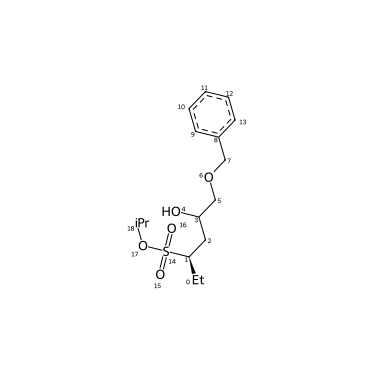 CC[C@H](CC(O)COCc1ccccc1)S(=O)(=O)OC(C)C